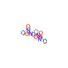 O=C(N1CCC(O)(Cn2cnc(-c3ccccc3)cc2=O)C2(CCCCC2)C1)N1CCOC[C@H]1c1ccccc1